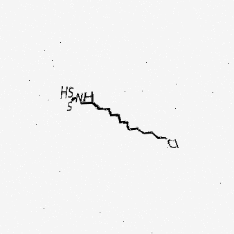 S=C(S)NCCCCCCCCCCCCCCCl